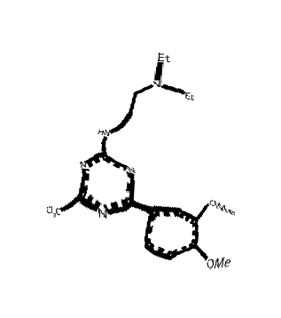 CCN(CC)CCNc1nc(-c2ccc(OC)c(OC)c2)nc(C(Cl)(Cl)Cl)n1